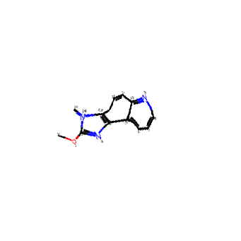 COc1nc2c3cccnc3ccc2n1C